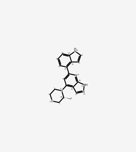 C[C@@H]1COCCN1c1cc(-c2cccc3[nH]ccc23)nc2[nH]ncc12